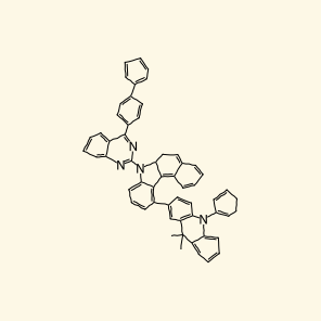 CC1(C)c2ccccc2N(C2=CCCC=C2)c2ccc(-c3cccc4c3C3=c5ccccc5=CCC3N4c3nc(-c4ccc(-c5ccccc5)cc4)c4ccccc4n3)cc21